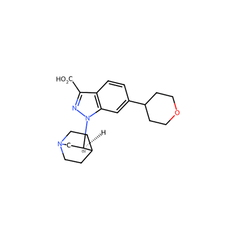 O=C(O)c1nn([C@@H]2CN3CCC2CC3)c2cc(C3CCOCC3)ccc12